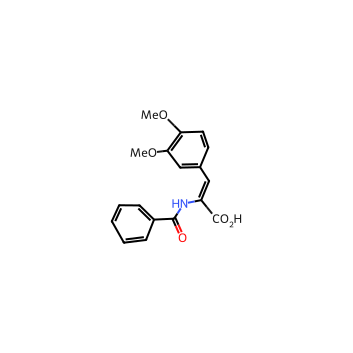 COc1ccc(C=C(NC(=O)c2ccccc2)C(=O)O)cc1OC